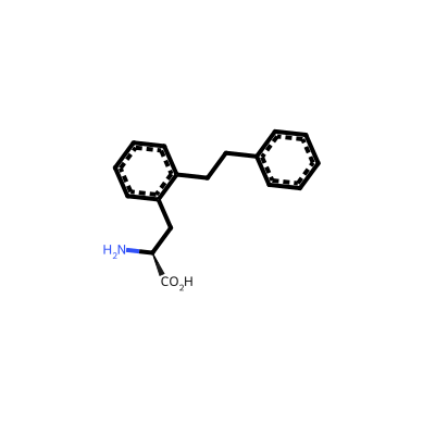 N[C@@H](Cc1ccccc1CCc1ccccc1)C(=O)O